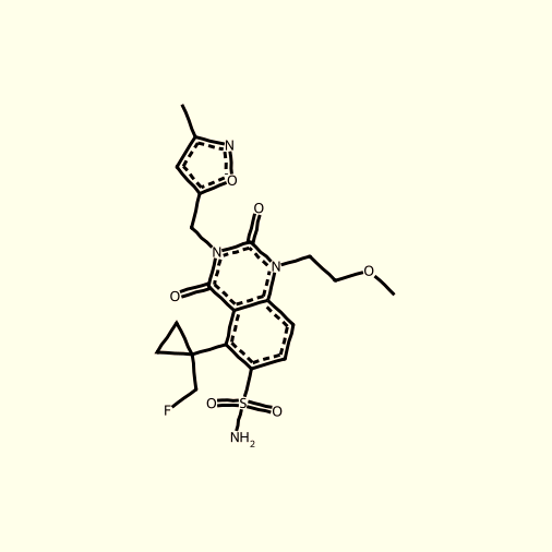 COCCn1c(=O)n(Cc2cc(C)no2)c(=O)c2c(C3(CF)CC3)c(S(N)(=O)=O)ccc21